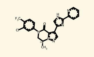 C[C@H]1CN(c2ccc(C(F)(F)F)c(Cl)c2)C(=O)c2c(-c3c[nH]c(-c4ccccn4)n3)cnn21